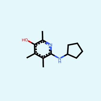 Cc1nc(NC2CCCC2)c(C)c(C)c1O